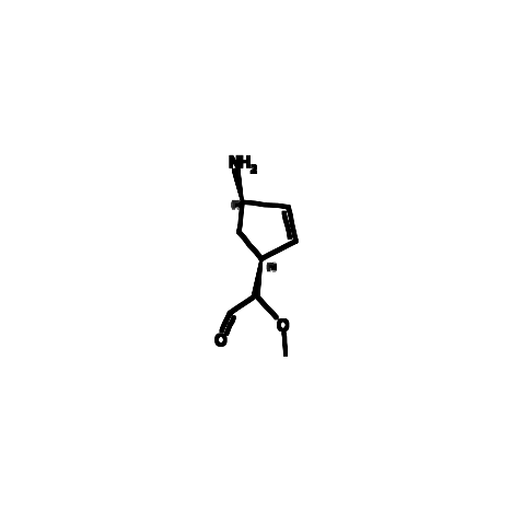 COC(C=O)[C@@H]1C=C[C@H](N)C1